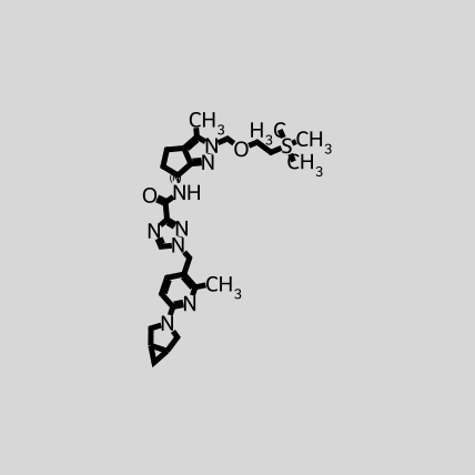 Cc1nc(N2CC3CC3C2)ccc1Cn1cnc(C(=O)N[C@@H]2CCc3c2nn(COCCS(C)(C)C)c3C)n1